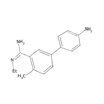 CC/N=C(/N)c1cc(-c2ccc(N)cc2)ccc1C